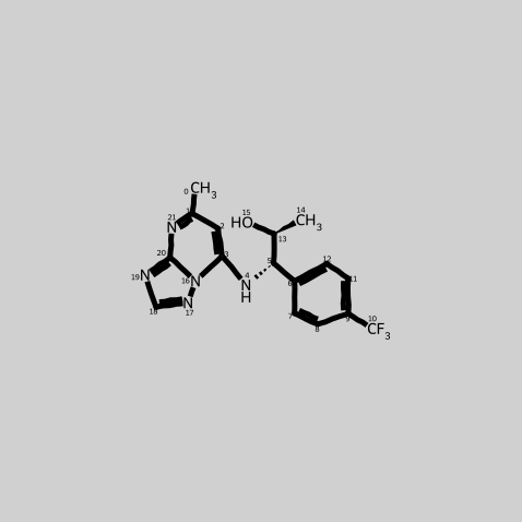 Cc1cc(N[C@@H](c2ccc(C(F)(F)F)cc2)[C@H](C)O)n2ncnc2n1